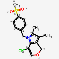 Cc1c2c(n(Cc3ccc(S(C)(=O)=O)cc3)c1C)C(Cl)=COC2